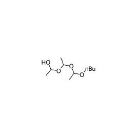 CCCCOC(C)OC(C)OC(C)O